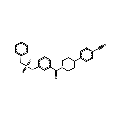 N#Cc1ccc(C2CCN(C(=O)c3cccc(NS(=O)(=O)Cc4ccccc4)c3)CC2)cc1